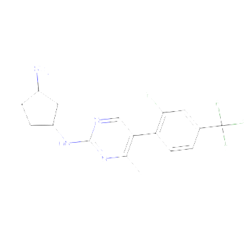 Cc1nc(NC2CCC(N)C2)ncc1-c1ccc(C(F)(F)F)cc1F